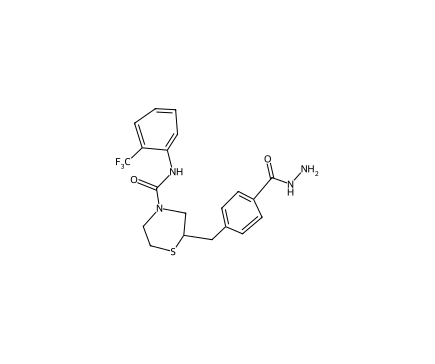 NNC(=O)c1ccc(CC2CN(C(=O)Nc3ccccc3C(F)(F)F)CCS2)cc1